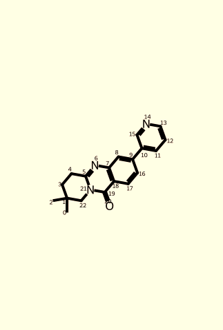 CC1(C)CCc2nc3cc(-c4cccnc4)ccc3c(=O)n2C1